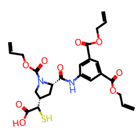 C=CCOC(=O)c1cc(NC(=O)[C@@H]2C[C@H](C(S)C(=O)O)CN2C(=O)OCC=C)cc(C(=O)OCC=C)c1